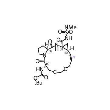 CNS(=O)(=O)NC(=O)[C@@]12C[C@H]1/C=C\CCCCC[C@H](NC(=O)OC(C)(C)C)C(=O)N1CCC[C@H]1C(=O)N2